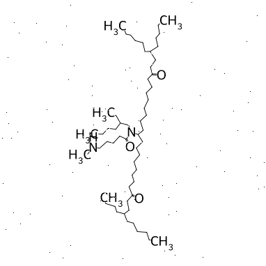 CCCCCCC(CCCC)CCC(=O)CCCCCCCCC(CCCCCCCCC(=O)CCC(CCCCC)CCCCCC)N(CC(CC)CCCC)C(=O)CCCCNC